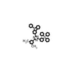 Cc1cc(C)cc(-c2nc(-c3cccc(S(c4ccccc4)(c4ccccc4)c4ccccc4)c3)nc(-c3ccc4c(c3)c3ccccc3n4-c3ccccc3)n2)c1